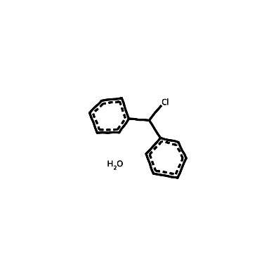 ClC(c1ccccc1)c1ccccc1.O